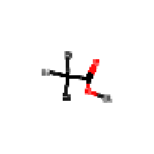 [CH2]COC(=O)C(CC)(CC)CC